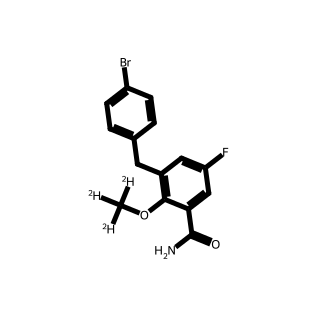 [2H]C([2H])([2H])Oc1c(Cc2ccc(Br)cc2)cc(F)cc1C(N)=O